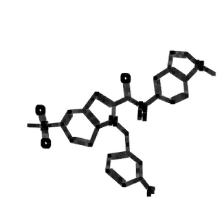 Cn1ccc2cc(NC(=O)c3cc4cc(S(C)(=O)=O)ccc4n3Cc3cccc(F)c3)ccc21